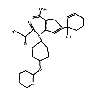 CCCC(CC)C(=O)N(c1cc(C2(O)C=CCCC2)sc1C(=O)OC)C1CCC(OC2CCCCO2)CC1